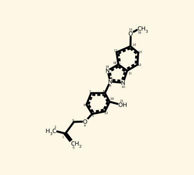 C=C(C)COc1ccc(-n2nc3ccc(OC)cc3n2)c(O)c1